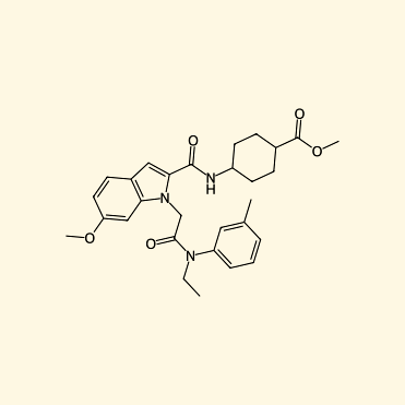 CCN(C(=O)Cn1c(C(=O)NC2CCC(C(=O)OC)CC2)cc2ccc(OC)cc21)c1cccc(C)c1